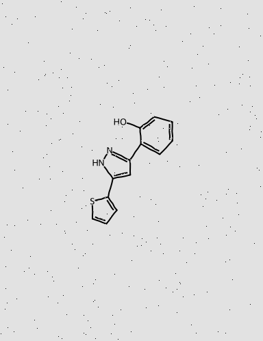 Oc1ccccc1-c1cc(-c2cccs2)[nH]n1